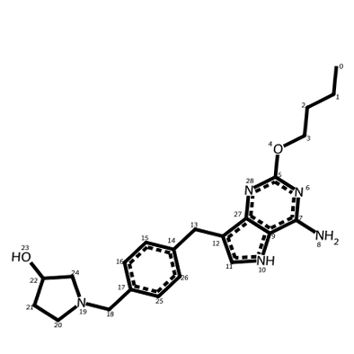 CCCCOc1nc(N)c2[nH]cc(Cc3ccc(CN4CCC(O)C4)cc3)c2n1